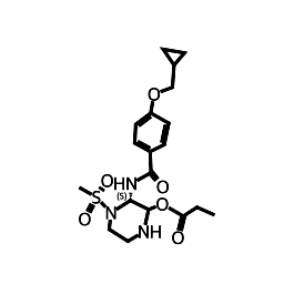 CCC(=O)OC1NCCN(S(C)(=O)=O)[C@@H]1NC(=O)c1ccc(OCC2CC2)cc1